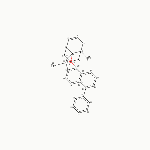 CCCC12CC=CC(CCC1)C21C=C(CC)c2ccc3c(-c4ccccc4)cccc3c2O1